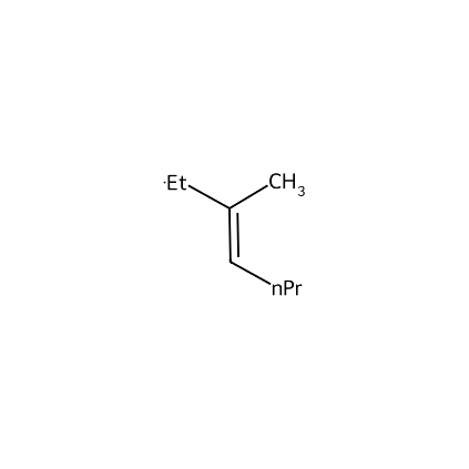 C[CH]/C(C)=C/CCC